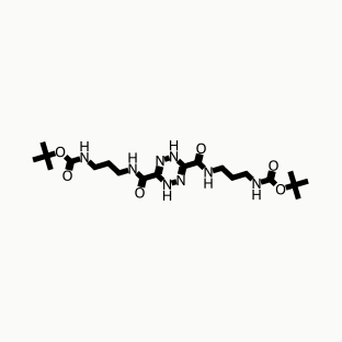 CC(C)(C)OC(=O)NCCCNC(=O)C1=NNC(C(=O)NCCCNC(=O)OC(C)(C)C)=NN1